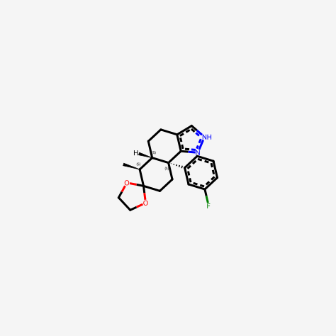 C[C@H]1[C@@H]2CCc3c[nH]nc3[C@@]2(c2cccc(F)c2)CCC12OCCO2